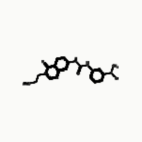 COCCn1cnc2cc(NC(=O)Nc3cccc(N(C)C(C)=O)c3)ccc2c1=O